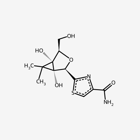 CC1(C)[C@]2(O)[C@H](c3nc(C(N)=O)cs3)O[C@H](CO)[C@]12O